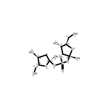 CCP(=O)(O[C@]1(O)C[C@H](O)[C@@H](CO)O1)O[C@]1(O)C[C@H](O)[C@@H](CO)O1